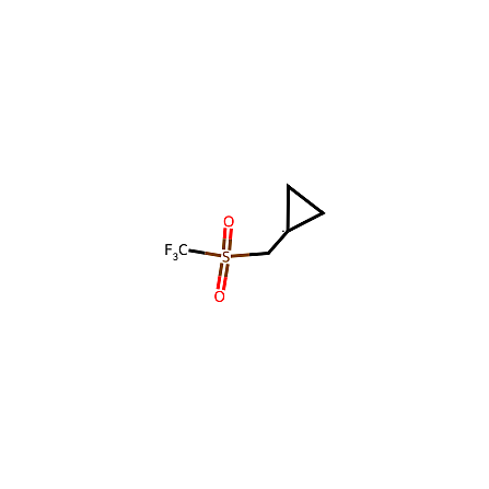 O=S(=O)(C[C]1CC1)C(F)(F)F